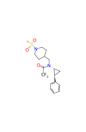 CS(=O)(=O)N1CCC(CN(C(=O)C(F)(F)F)[C@@H]2C[C@H]2c2ccccc2)CC1